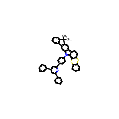 CC1(C)c2ccccc2-c2cc3c(cc21)c1ccc2c(c1n3-c1ccc(-c3cc(-c4ccccc4)cc(-c4ccccc4)n3)cc1)Sc1ccccc1S2